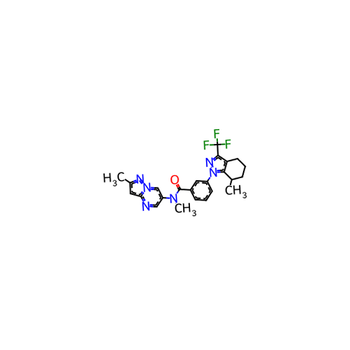 Cc1cc2ncc(N(C)C(=O)c3cccc(-n4nc(C(F)(F)F)c5c4C(C)CCC5)c3)cn2n1